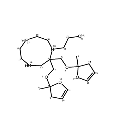 CC1(OCC2(COC3(C)CC=CO3)CNCCNCCN2CCO)CC=CO1